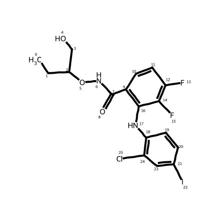 CCC(CO)ONC(=O)c1ccc(F)c(F)c1Nc1ccc(I)cc1Cl